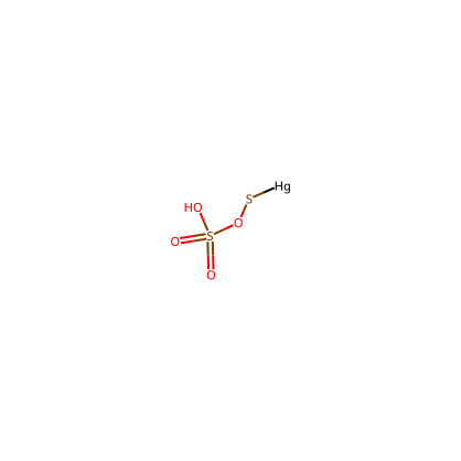 O=S(=O)(O)O[S][Hg]